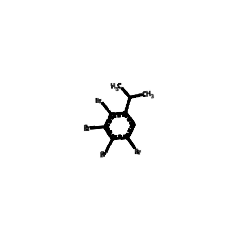 CC(C)c1cc(Br)c(Br)c(Br)c1Br